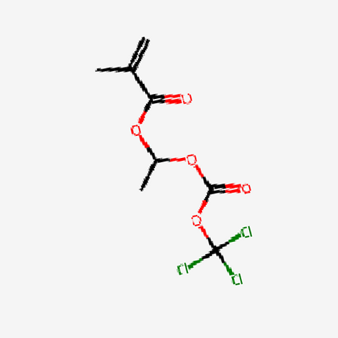 C=C(C)C(=O)OC(C)OC(=O)OC(Cl)(Cl)Cl